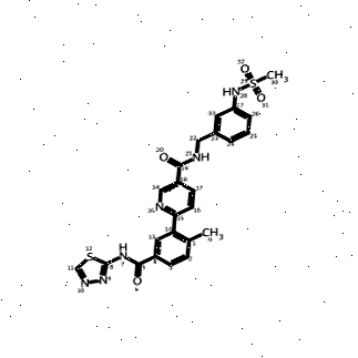 Cc1ccc(C(=O)Nc2nncs2)cc1-c1ccc(C(=O)NCc2cccc(NS(C)(=O)=O)c2)cn1